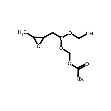 CC1OC1CP(OCO)OCOC(=O)C(C)(C)C